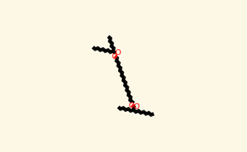 CCCCCCCCC(CCCCCC)C(=O)OCCCCCCCCCCCCCCCCCCCOC(=O)C(CCCCCC)CCCCCCCC